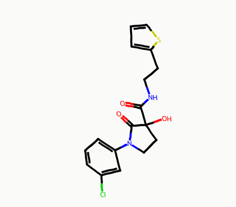 O=C(NCCc1cccs1)C1(O)CCN(c2cccc(Cl)c2)C1=O